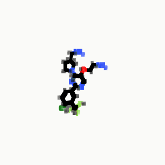 NCCOc1cnc(-c2ccc(Cl)c(C(F)(F)F)c2)nc1N1CC[C@@H](CN)C1